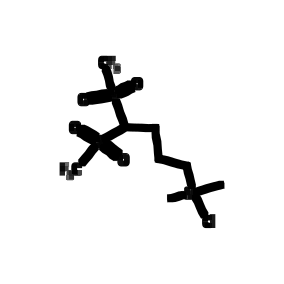 C[Si](C)(Cl)CCCC(S(=O)(=O)C(F)(F)F)S(=O)(=O)C(F)(F)F